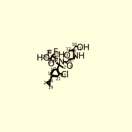 CC(C)(NC(=O)[C@@H]1CN[C@H](CO)CO1)c1ccc(C2CC2)cc1Cl.O=C(O)C(F)(F)F